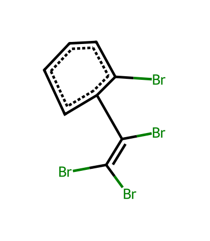 BrC(Br)=C(Br)c1ccccc1Br